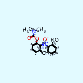 C=C1C=CC=C(OC(=O)N(C)C)/C1=[N+](\[O-])c1ccccc1N=O